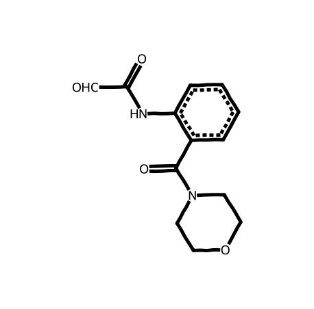 O=CC(=O)Nc1ccccc1C(=O)N1CCOCC1